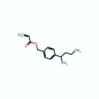 C=CC(=O)OCc1ccc(C(C)CCC)cc1